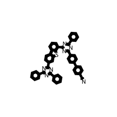 N#Cc1ccc(-c2ccc(-c3nc(-c4ccccc4)nc(-c4cccc5c4sc4cc(-c6nc(-c7ccccc7)nc(-c7ccccc7)n6)ccc45)n3)cc2)cc1